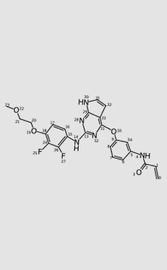 C=CC(=O)Nc1cccc(Oc2nc(Nc3ccc(OCCOC)c(F)c3F)nc3[nH]ccc23)c1